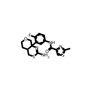 Cc1nc(C(=O)Nc2ccc(F)c(C34COCCC3CSC(N)=N4)c2)cs1